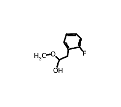 COC(O)Cc1ccccc1F